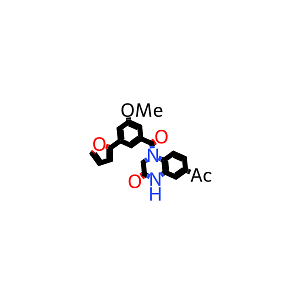 COc1cc(C(=O)N2CC(=O)Nc3cc(C(C)=O)ccc32)cc(-c2ccco2)c1